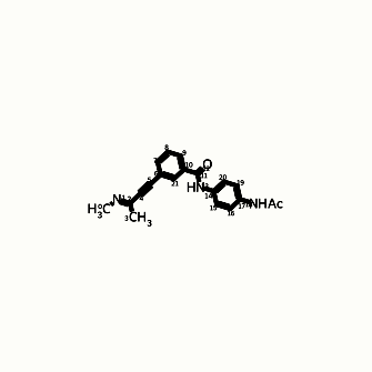 C/N=C(\C)C#Cc1cccc(C(=O)Nc2ccc(NC(C)=O)cc2)c1